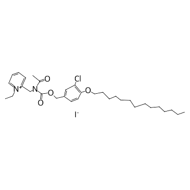 CCCCCCCCCCCCCCOc1ccc(COC(=O)N(Cc2cccc[n+]2CC)C(C)=O)cc1Cl.[I-]